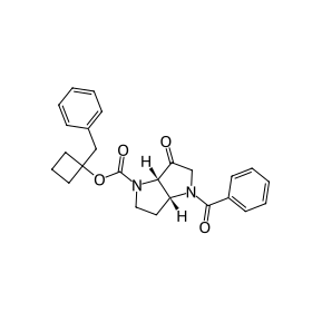 O=C1CN(C(=O)c2ccccc2)[C@@H]2CCN(C(=O)OC3(Cc4ccccc4)CCC3)[C@H]12